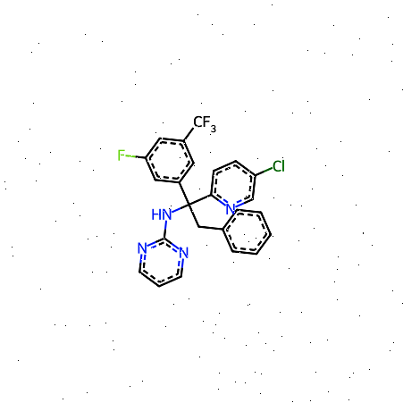 Fc1cc(C(F)(F)F)cc(C(Cc2ccccc2)(Nc2ncccn2)c2ccc(Cl)cn2)c1